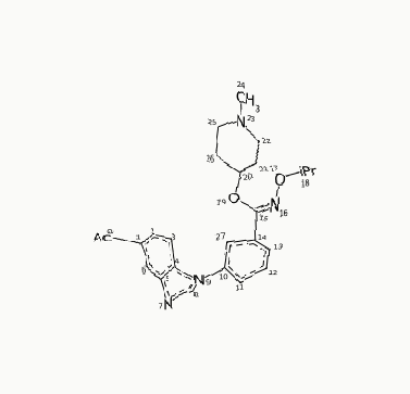 CC(=O)c1ccc2c(c1)ncn2-c1cccc(C(=NOC(C)C)OC2CCN(C)CC2)c1